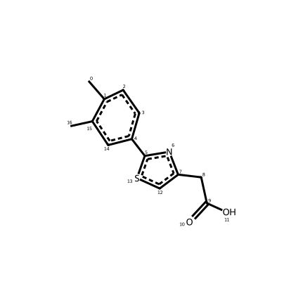 Cc1ccc(-c2nc(CC(=O)O)cs2)cc1C